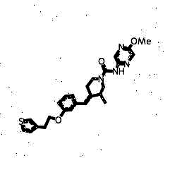 COc1cnc(NC(=O)N2CCC(=Cc3cccc(OCCc4ccsc4)c3)C(C)C2)cn1